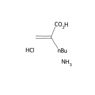 C=C(CCCC)C(=O)O.Cl.N